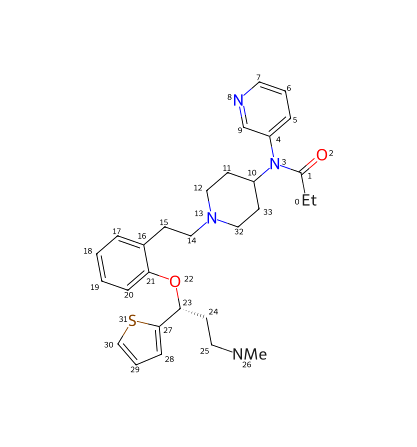 CCC(=O)N(c1cccnc1)C1CCN(CCc2ccccc2O[C@H](CCNC)c2cccs2)CC1